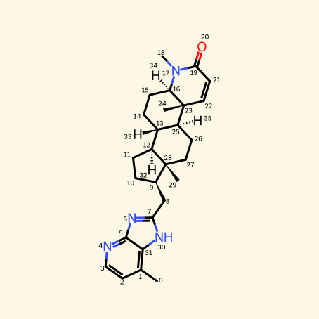 Cc1ccnc2nc(C[C@H]3CC[C@H]4[C@@H]5CC[C@H]6N(C)C(=O)C=C[C@]6(C)[C@H]5CC[C@]34C)[nH]c12